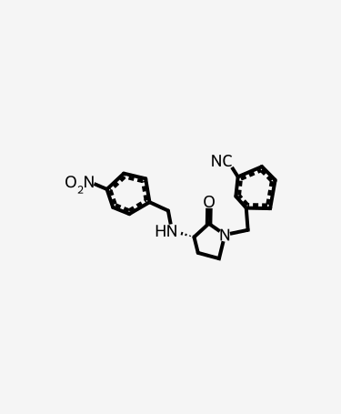 N#Cc1cccc(CN2CC[C@H](NCc3ccc([N+](=O)[O-])cc3)C2=O)c1